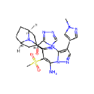 Cn1cc(-c2cnn3c(N)c(S(C)(=O)=O)c([C@H]4C[C@H]5CC[C@@H](C4)N5C(=O)c4nnc[nH]4)nc23)cn1